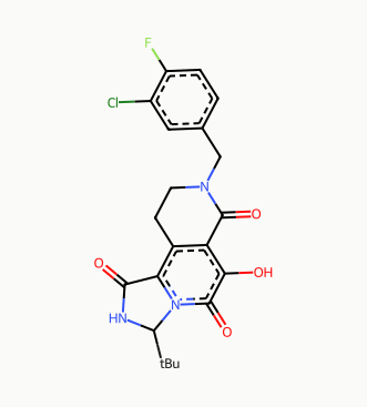 CC(C)(C)C1NC(=O)c2c3c(c(O)c(=O)n21)C(=O)N(Cc1ccc(F)c(Cl)c1)CC3